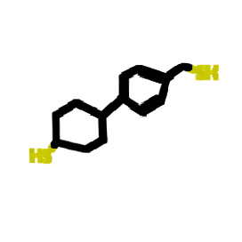 SCc1ccc(C2CCC(S)CC2)cc1